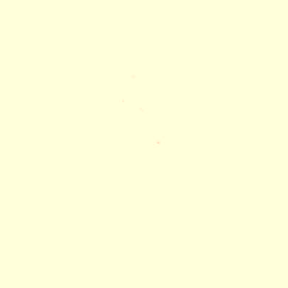 CCc1ccc(CCNC(=O)Cn2cnc3c2C(=O)C(C)N3C)cc1